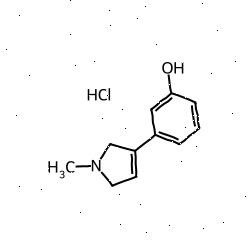 CN1CC=C(c2cccc(O)c2)C1.Cl